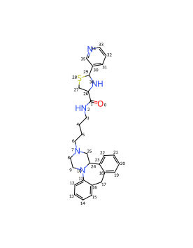 O=C(NCCCCN1CCN2c3ccccc3Cc3ccccc3C2C1)C1CSC(c2cccnc2)N1